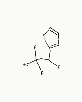 OC(F)(F)C(F)c1cccs1